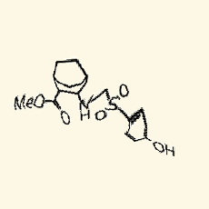 COC(=O)C1C2CCC(C2)C1NCS(=O)(=O)c1ccc(O)cc1